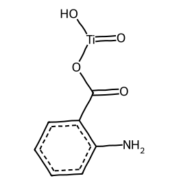 Nc1ccccc1C(=O)[O][Ti](=[O])[OH]